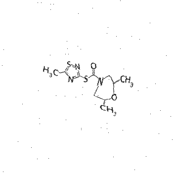 Cc1nc(SC(=O)N2CC(C)OC(C)C2)ns1